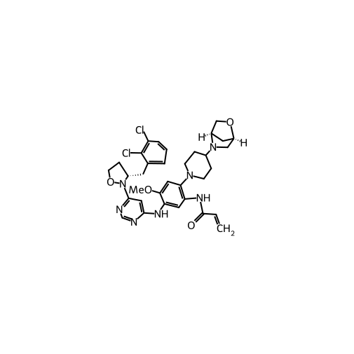 C=CC(=O)Nc1cc(Nc2cc(N3OCC[C@@H]3Cc3cccc(Cl)c3Cl)ncn2)c(OC)cc1N1CCC(N2C[C@H]3C[C@@H]2CO3)CC1